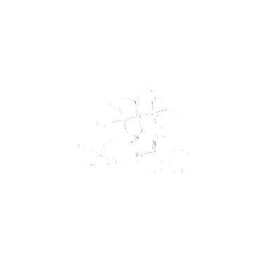 C[Si](C)(C)Cl.C[Si](C)(C)c1nc([N+](C(=O)C(F)(F)F)([Si](C)(C)C)[Si](C)(C)C)c[nH]1